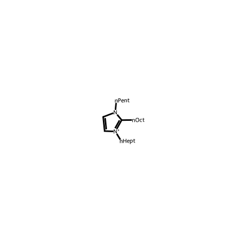 CCCCCCCCc1n(CCCCC)cc[n+]1CCCCCCC